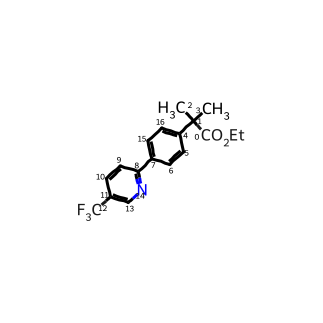 CCOC(=O)C(C)(C)c1ccc(-c2ccc(C(F)(F)F)cn2)cc1